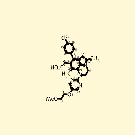 COCCOc1cnc(N2CCn3c(C)cc4c(-c5ccc(Cl)cc5)c(CC(=O)O)c(C)c2c43)nc1